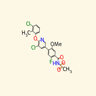 COc1cc(C(=O)NS(C)(=O)=O)c(F)cc1-c1cnc(Oc2cccc(Cl)c2C)c(Cl)c1